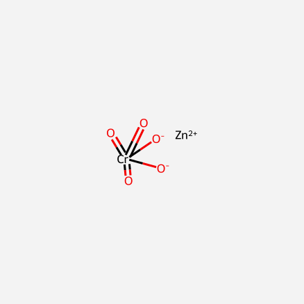 [O]=[Cr](=[O])(=[O])([O-])[O-].[Zn+2]